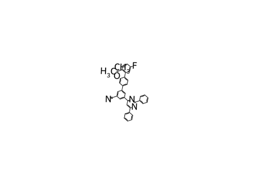 CC1(C)Oc2cc(-c3cc(C#N)cc(-c4cc(-c5ccccc5)nc(-c5ccccc5)n4)c3)ccc2-c2cc(F)ccc21